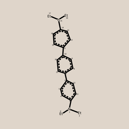 CCN(CC)c1ccc(-c2ccc(-c3ccc(N(CC)CC)cc3)cc2)cc1